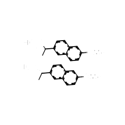 COc1ccc2cc(C(C)C(=O)O)ccc2c1.COc1ccc2cc([C@H](C)C(=O)O)ccc2c1